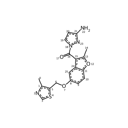 Cc1ncsc1COc1ccc2oc(C)c(C(=O)n3ccc(N)n3)c2c1